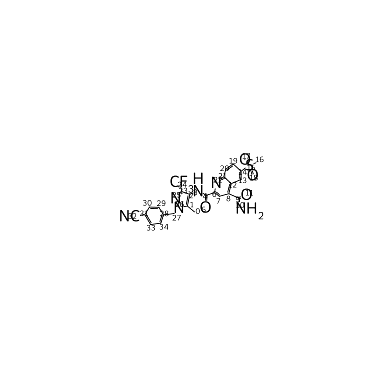 Cc1c(NC(=O)c2cc(C(N)=O)c3cc(S(C)(=O)=O)ccc3n2)c(C(F)(F)F)nn1Cc1ccc(C#N)cc1